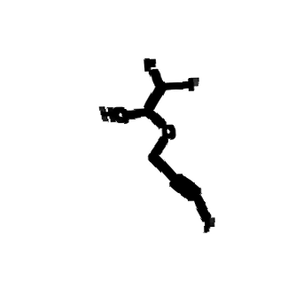 OC(OCC#CF)C(F)F